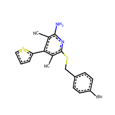 CC(C)(C)c1ccc(CSc2nc(N)c(C#N)c(-c3cccs3)c2C#N)cc1